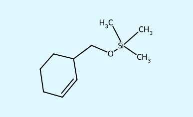 C[Si](C)(C)OCC1C=CCCC1